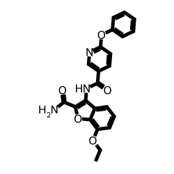 CCOc1cccc2c(NC(=O)c3ccc(Oc4ccccc4)nc3)c(C(N)=O)oc12